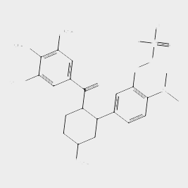 COc1cc(C(=O)C2CCC(OC)CC2c2ccc(N(C)C)c(OOP(=O)(O)O)c2)cc(OC)c1OC